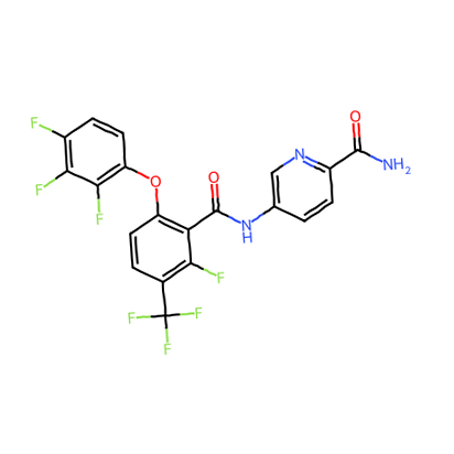 NC(=O)c1ccc(NC(=O)c2c(Oc3ccc(F)c(F)c3F)ccc(C(F)(F)F)c2F)cn1